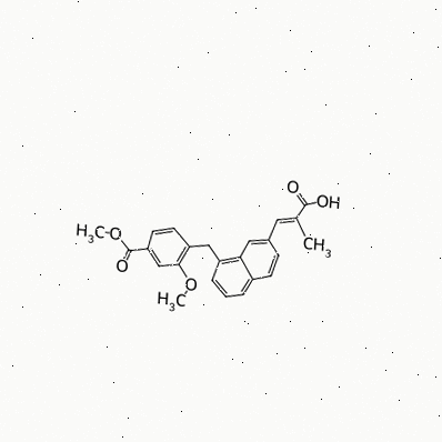 COC(=O)c1ccc(Cc2cccc3ccc(/C=C(\C)C(=O)O)cc23)c(OC)c1